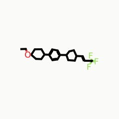 CCOC1CCC(c2ccc(C3CCC(/C=C/C(F)(F)F)CC3)cc2)CC1